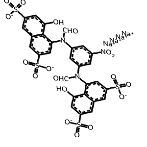 O=CN(c1cc(N(C=O)c2cc(S(=O)(=O)[O-])cc3cc(S(=O)(=O)[O-])cc(O)c23)cc([N+](=O)[O-])c1)c1cc(S(=O)(=O)[O-])cc2cc(S(=O)(=O)[O-])cc(O)c12.[Na+].[Na+].[Na+].[Na+]